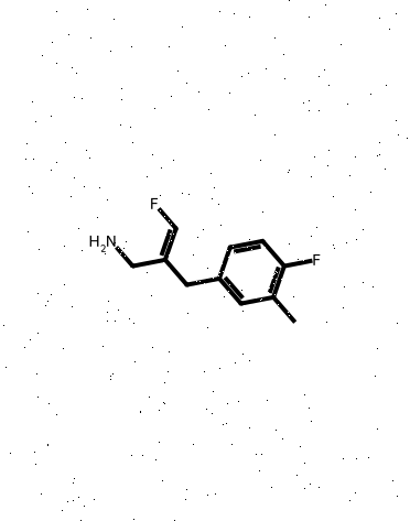 Cc1cc(CC(=CF)CN)ccc1F